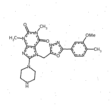 COc1cc(-c2nnc(Cn3c(N4CCNCC4)nc4c3c(=O)n(C)c(=O)n4C)o2)ccc1C